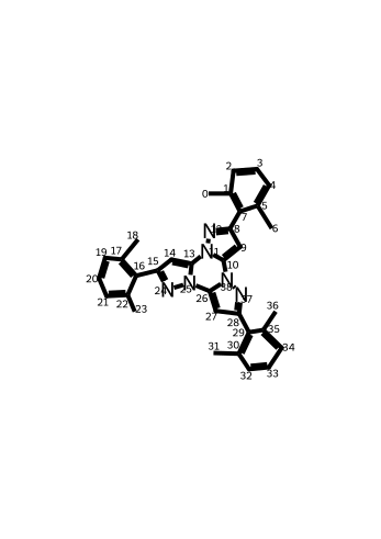 Cc1cccc(C)c1-c1cc2n(n1)c1cc(-c3c(C)cccc3C)nn1c1cc(-c3c(C)cccc3C)nn21